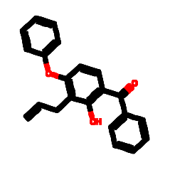 C=CCc1c(Oc2ccccc2)ccc(C(=O)c2ccccc2)c1O